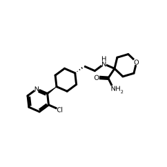 NC(=O)C1(NCC[C@H]2CC[C@H](c3ncccc3Cl)CC2)CCOCC1